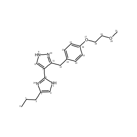 CCCc1c[nH]c(-c2c[nH]nc2Cc2ccc(OCCOC)cc2)n1